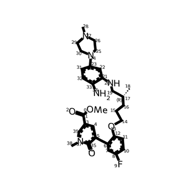 COC(=O)c1cc(-c2cc(F)ccc2OCCC[C@@H](C)CNc2cc(N3CCN(C)CC3)ccc2N)c(=O)n(C)c1